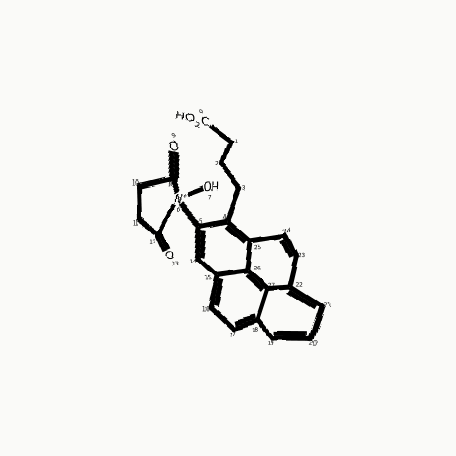 O=C(O)CCCc1c([N+]2(O)C(=O)CCC2=O)cc2ccc3cccc4ccc1c2c34